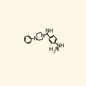 N=C(c1ccc(NN)cc1)N1CCN(c2ccccc2)CC1